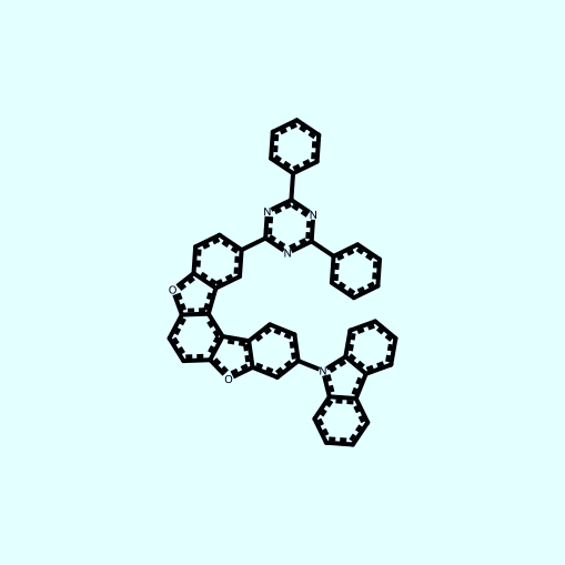 c1ccc(-c2nc(-c3ccccc3)nc(-c3ccc4oc5ccc6oc7cc(-n8c9ccccc9c9ccccc98)ccc7c6c5c4c3)n2)cc1